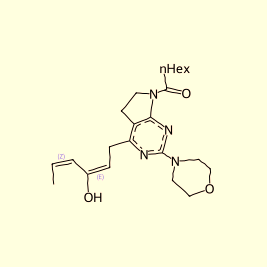 C/C=C\C(O)=C/Cc1nc(N2CCOCC2)nc2c1CCN2C(=O)CCCCCC